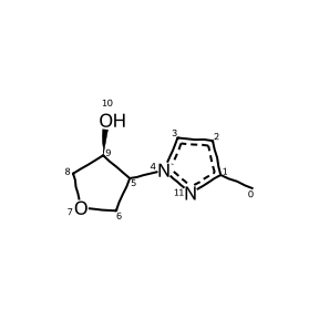 Cc1ccn(C2COC[C@H]2O)n1